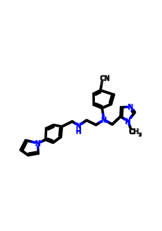 Cn1cncc1CN(CCNCc1ccc(-n2cccc2)cc1)c1ccc(C#N)cc1